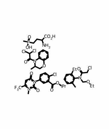 CC(C)OC(=O)c1cc(-n2c(=O)cc(C(F)(F)F)n(C)c2=O)ccc1Cl.CC1COc2ccccc2N1C(=O)C(Cl)Cl.CCOCN(C(=O)CCl)c1c(C)cccc1CC.CP(=O)(O)CCC(N)C(=O)O